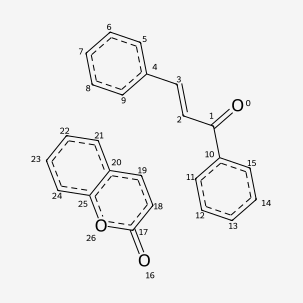 O=C(C=Cc1ccccc1)c1ccccc1.O=c1ccc2ccccc2o1